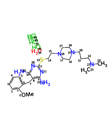 COc1ccccc1Cc1c(N)nc(SCCN2CCN(CCCN(C)C)CC2)nc1N.Cl.Cl.Cl.Cl.O